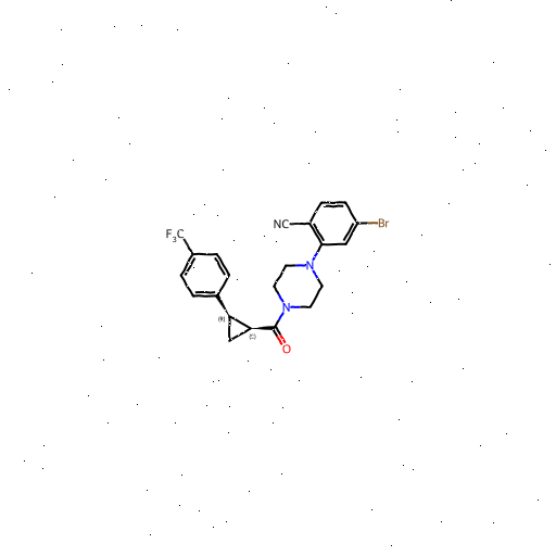 N#Cc1ccc(Br)cc1N1CCN(C(=O)[C@H]2C[C@H]2c2ccc(C(F)(F)F)cc2)CC1